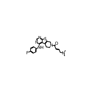 CN(C)C/C=C/C(=O)N1CCc2c(sc3ncnc(Nc4ccc(F)cc4)c23)C1